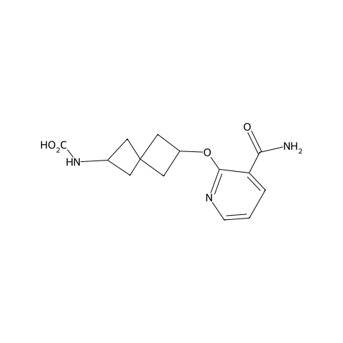 NC(=O)c1cccnc1OC1CC2(CC(NC(=O)O)C2)C1